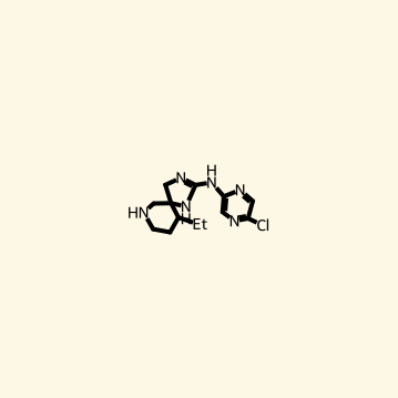 CCC1CCNCC12CN=C(Nc1cnc(Cl)cn1)N2